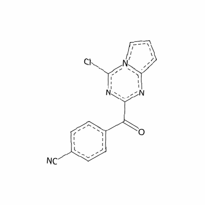 N#Cc1ccc(C(=O)c2nc(Cl)n3cccc3n2)cc1